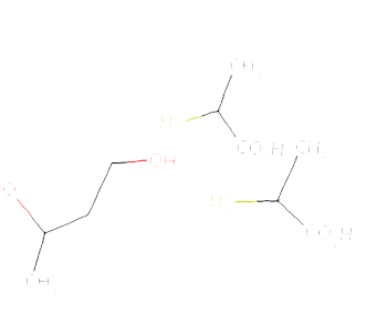 CC(O)CCO.CC(S)C(=O)O.CC(S)C(=O)O